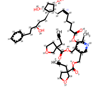 C#CCC1(C(=O)OCc2cnc(C)c(OC(=O)CCC/C=C\C[C@@H]3[C@@H](CC[C@@H](O)CCc4ccccc4)[C@H](O)C[C@@H]3O)c2COC(=O)C2(CC#C)CCOC2)CCOC1